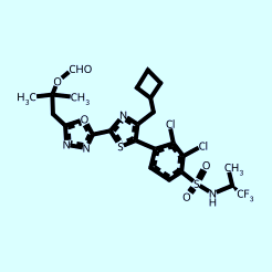 C[C@H](NS(=O)(=O)c1ccc(-c2sc(-c3nnc(CC(C)(C)OC=O)o3)nc2CC2CCC2)c(Cl)c1Cl)C(F)(F)F